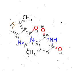 Cc1scc2nc(C)n(C3CCC(=O)NC3=O)c(=O)c12